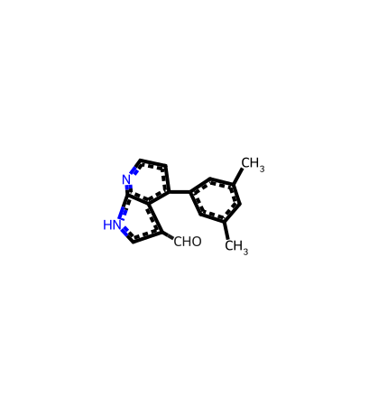 Cc1cc(C)cc(-c2ccnc3[nH]cc(C=O)c23)c1